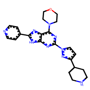 c1cc(-c2nc3c(N4CCOCC4)nc(-n4ccc(C5CCNCC5)n4)nc3[nH]2)ccn1